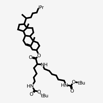 CC(C)CCCC(C)C1CCC2C3CC=C4CC(OC(=O)C(CCCCNC(=O)OC(C)(C)C)NCCCCCCNC(=O)OC(C)(C)C)CCC4(C)C3CCC12C